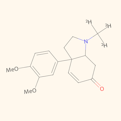 [2H]C([2H])([2H])N1CCC2(c3ccc(OC)c(OC)c3)C=CC(=O)CC12